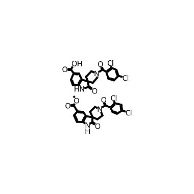 COC(=O)c1ccc2c(c1)C1(CCN(C(=O)c3ccc(Cl)cc3Cl)CC1)C(=O)N2.O=C(O)c1ccc2c(c1)C1(CCN(C(=O)c3ccc(Cl)cc3Cl)CC1)C(=O)N2